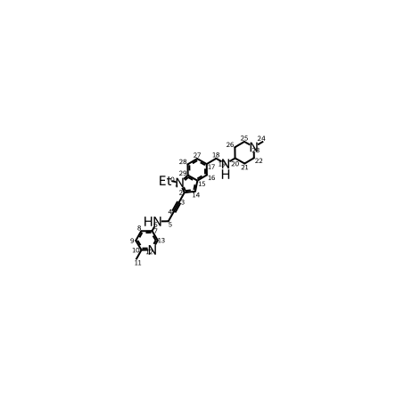 CCn1c(C#CCNc2ccc(C)nc2)cc2cc(CNC3CCN(C)CC3)ccc21